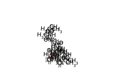 CC(C)CC(NC(=O)C(Cc1ccccc1)NC(=O)C(Cc1ccccc1)NC(=O)OC(C)(C)C)C(=O)NC(CCCCNC(=O)OC(C)(C)C)C(=O)N1CCC2(CC1)CN(C(=O)C(C)NC(=O)OC(C)(C)C)C2